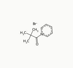 CC(C)(C)C(=O)[n+]1ccccc1.[Br-]